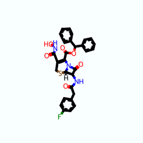 O=C(Cc1ccc(F)cc1)NC1C(=O)N2C(C(=O)OC(c3ccccc3)c3ccccc3)=C(C(=O)NO)CS[C@@H]12